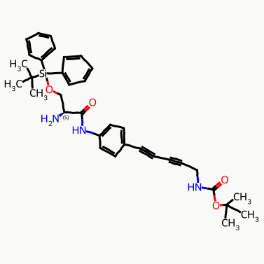 CC(C)(C)OC(=O)NCC#CC#Cc1ccc(NC(=O)[C@@H](N)CO[Si](c2ccccc2)(c2ccccc2)C(C)(C)C)cc1